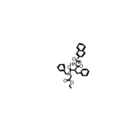 CCOC(=O)CN(Cc1ccccc1)C(=O)C(Cc1ccccc1)C(=O)NS(=O)(=O)c1ccc2ccccc2c1